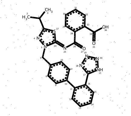 CC(C)c1nn(Cc2ccc(-c3ccccc3-c3nnn[nH]3)cc2)c(=NC(=O)c2ccccc2C(=O)O)s1